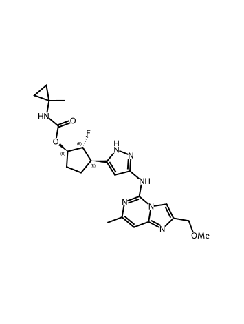 COCc1cn2c(Nc3cc([C@H]4CC[C@@H](OC(=O)NC5(C)CC5)[C@@H]4F)[nH]n3)nc(C)cc2n1